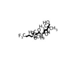 CC(C)(CO)c1cc(NC(=O)C(C)(C)S(=O)(=O)CCCC(F)(F)F)on1